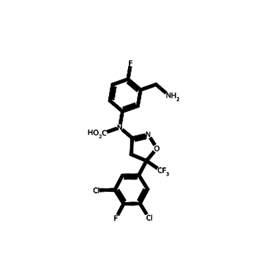 NCc1cc(N(C(=O)O)C2=NOC(c3cc(Cl)c(F)c(Cl)c3)(C(F)(F)F)C2)ccc1F